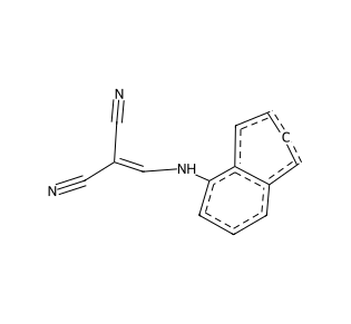 N#CC(C#N)=CNc1cccc2ccccc12